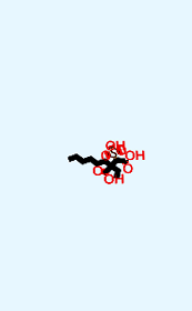 CCCCCCC(CC)(C(=O)O)C(C(=O)O)S(=O)(=O)O